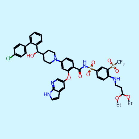 CCOC(CCNc1ccc(S(=O)(=O)NC(=O)c2ccc(N3CCC([C@@H](O)c4ccccc4-c4ccc(Cl)cc4)CC3)cc2Oc2cnc3[nH]ccc3c2)cc1S(=O)(=O)C(F)(F)F)OCC